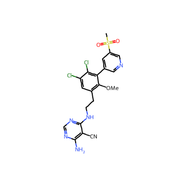 COc1c(CCNc2ncnc(N)c2C#N)cc(Cl)c(Cl)c1-c1cncc(S(C)(=O)=O)c1